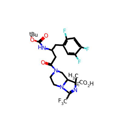 CC(C)(C)OC(=O)NC(CC(=O)N1CCN2C(C(F)(F)F)=N[C@@](C)(C(=O)O)C2C1)Cc1cc(F)c(F)cc1F